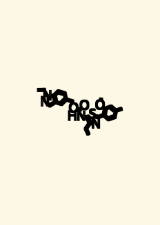 CCc1nc(-c2ccc(C)cc2OC)sc1NC(=O)OCc1ccc2c(cnn2CC)c1